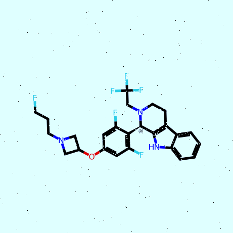 FCCCN1CC(Oc2cc(F)c([C@@H]3c4[nH]c5ccccc5c4CCN3CC(F)(F)F)c(F)c2)C1